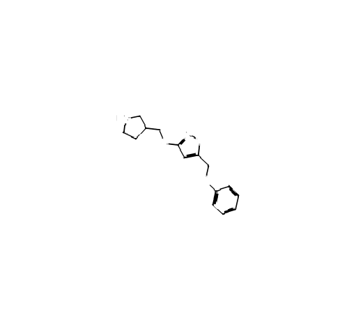 c1ccc(OCc2cc(OCC3CCNC3)no2)cc1